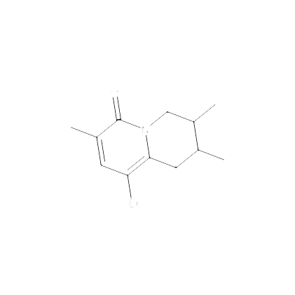 CCc1cc(C)c(=O)n2c1CC(C)C(C)C2